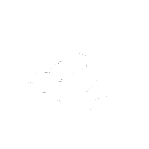 CCN(CCNc1ncc2c(n1)C[S+]([O-])C2)C(C)c1ccc2c(c1)OCC2